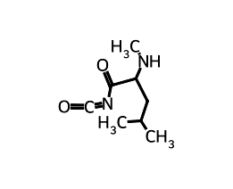 CNC(CC(C)C)C(=O)N=C=O